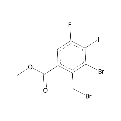 COC(=O)c1cc(F)c(I)c(Br)c1CBr